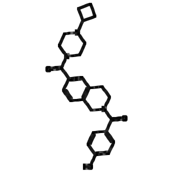 O=C(c1ccc2c(c1)CCN(C(=O)c1ccc(O)cc1)C2)N1CCN(C2CCC2)CC1